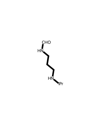 CC(C)NCCCNC=O